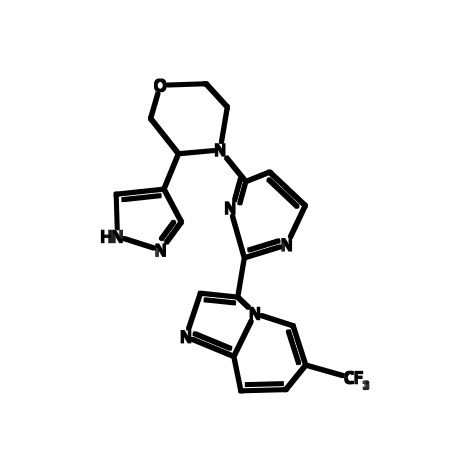 FC(F)(F)c1ccc2ncc(-c3nccc(N4CCOCC4c4cn[nH]c4)n3)n2c1